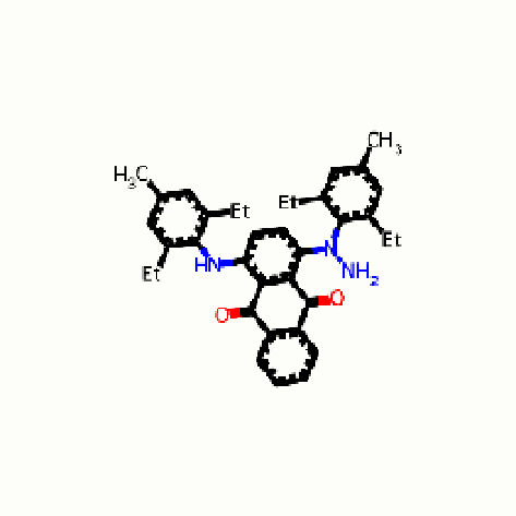 CCc1cc(C)cc(CC)c1Nc1ccc(N(N)c2c(CC)cc(C)cc2CC)c2c1C(=O)c1ccccc1C2=O